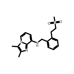 Cc1nc2c(NCc3ccccc3CCS(C)(=O)=O)cccn2c1C